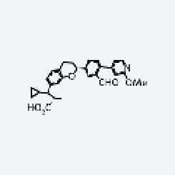 COc1cc(-c2ccc([C@@H]3CCc4ccc([C@H](C5CC5)[C@H](C)C(=O)O)cc4O3)cc2C=O)ccn1